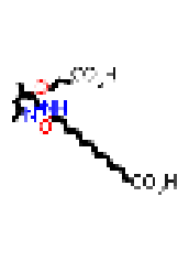 Cc1cc(C)c(OCCCC(=O)O)c(NC(=O)CCCCCCCCCCC(=O)O)n1